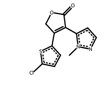 Cn1nccc1C1=C(c2ccc(Cl)s2)COC1=O